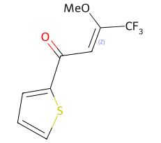 CO/C(=C\C(=O)c1cccs1)C(F)(F)F